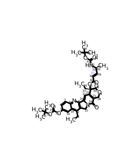 CCc1c2c(nc3ccc(OC(=O)OC(C)(C)C)cc13)-c1cc3c(c(=O)n1C2)COC(=O)[C@@]3(CC)OC(=O)/C=C/[C@H](C)NC(=O)OC(C)(C)C